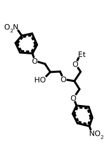 CCOCC(COc1ccc([N+](=O)[O-])cc1)OCC(O)COc1ccc([N+](=O)[O-])cc1